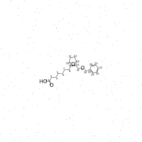 O=C(O)CCCCCCC1C2CCC(O2)C1COCc1ccccc1